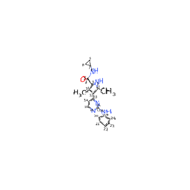 Cc1[nH]c(C(=O)NC2CC2)c(C)c1-c1ccnc(Nc2ccccc2)n1